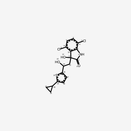 O=C1Nc2c(Cl)ccc(Cl)c2C1(O)CC(O)c1ccc(C2CC2)s1